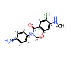 CNc1cc2c(cc1Cl)C(=O)N(c1ccc(N)cc1)CO2